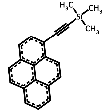 C[Si](C)(C)C#Cc1ccc2ccc3cccc4ccc1c2c34